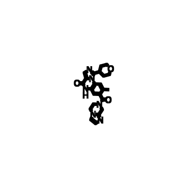 Cc1cc2c(cc1C(=O)N1CCn3ccnc3C1)[nH]c(=O)c1cnc(C3CCOCC3)n12